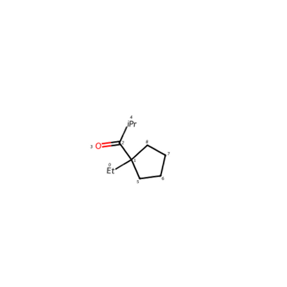 CCC1(C(=O)C(C)C)CCCC1